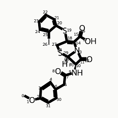 COc1ccc(CC(=O)N[C@@H]2C(=O)N3C(C(=O)O)=C(Sc4ccccc4I)CS[C@H]23)cc1